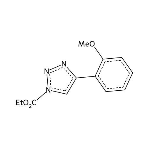 CCOC(=O)n1cc(-c2ccccc2OC)nn1